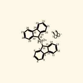 C[O-].C[O-].c1ccc2c(c1)-c1ccccc1[CH]2[Hf+2][CH]1c2ccccc2-c2ccccc21